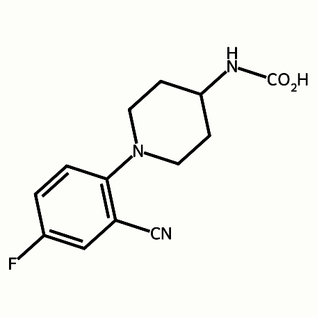 N#Cc1cc(F)ccc1N1CCC(NC(=O)O)CC1